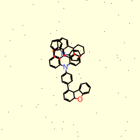 C1=CC2Oc3ccccc3C2C(c2ccc(N(c3ccccc3-c3cccc4cccc(C5CCCCC5)c34)c3cccc4c5ccccc5n(-c5ccccc5)c34)cc2)=C1